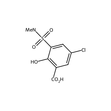 CNS(=O)(=O)c1cc(Cl)cc(C(=O)O)c1O